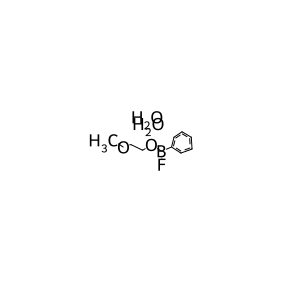 COCCOB(F)c1ccccc1.O.O